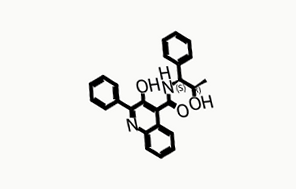 C[C@@H](O)[C@@H](NC(=O)c1c(O)c(-c2ccccc2)nc2ccccc12)c1ccccc1